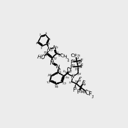 Cc1nn(-c2ccccc2)c(O)c1/N=N/c1ccccc1C(=O)N(CC(F)(F)C(F)(F)C(F)(F)F)CC(F)(F)C(F)(F)C(F)(F)F